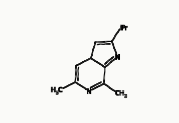 CC1=CC2C=C(C(C)C)N=C2C(C)=N1